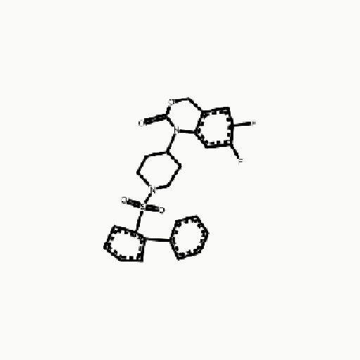 O=C1OCc2cc(F)c(F)cc2N1C1CCN(S(=O)(=O)c2ccccc2-c2ccccc2)CC1